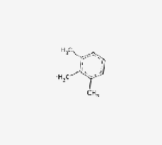 [CH2]c1c(C)cccc1C